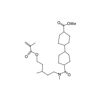 C=C(C)C(=O)OCCC(C)CCN(C)C(=O)C1CCC(C2CCC(C(=O)OC)CC2)CC1